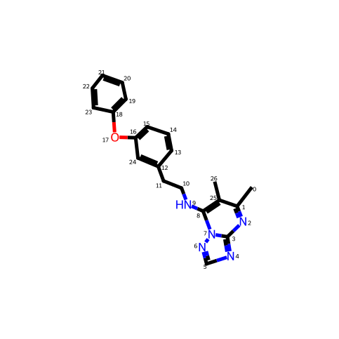 Cc1nc2ncnn2c(NCCc2cccc(Oc3ccccc3)c2)c1C